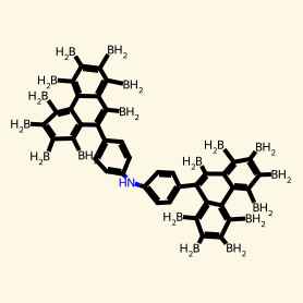 Bc1c(B)c(B)c2c(c1B)c(B)c(-c1ccc(Nc3ccc(-c4c(B)c5c(B)c(B)c(B)c(B)c5c5c(B)c(B)c(B)c(B)c45)cc3)cc1)c1c(B)c(B)c(B)c(B)c12